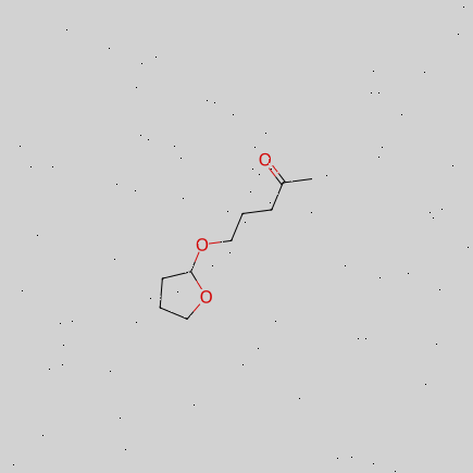 CC(=O)CCCOC1CCCO1